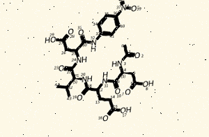 CC(=O)N[C@@H](CC(=O)O)C(=O)NC(CCC(=O)O)C(=O)N[C@H](C(=O)NC(CC(=O)O)C(=O)Nc1ccc([N+](=O)[O-])cc1)C(C)C